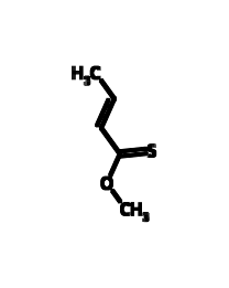 CC=CC(=S)OC